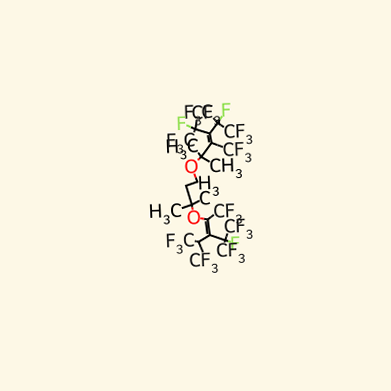 CC(C)(CCOC(C)(C)C(=C(C(F)(C(F)(F)F)C(F)(F)F)C(F)(C(F)(F)F)C(F)(F)F)C(F)(F)F)O/C(=C(\C(C(F)(F)F)C(F)(F)F)C(F)(C(F)(F)F)C(F)(F)F)C(F)(F)F